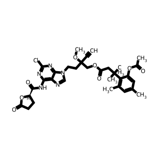 C#CC(CCn1cnc2c(NC(=O)[C@H]3CCC(=O)O3)nc(Cl)nc21)(COC(=O)CC(C)(C)c1c(C)cc(C)cc1OC(C)=O)OC